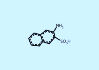 Nc1cc2ccccc2cc1S(=O)(=O)O